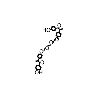 C=C(C(=O)c1ccc(O)cc1)c1ccc(OCCOCCOCCOc2ccc(C(=C)C(=O)c3ccc(O)cc3)cc2)cc1